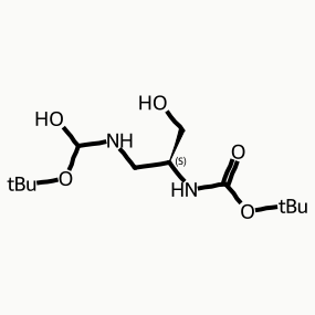 CC(C)(C)OC(=O)N[C@H](CO)CNC(O)OC(C)(C)C